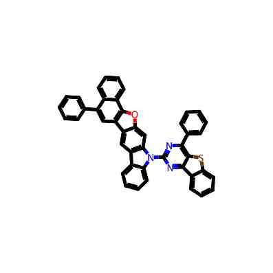 c1ccc(-c2cc3c4cc5c6ccccc6n(-c6nc(-c7ccccc7)c7sc8ccccc8c7n6)c5cc4oc3c3ccccc23)cc1